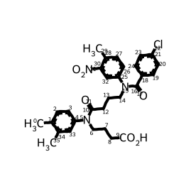 Cc1ccc(N(CCCC(=O)O)C(=O)CCCN(C(=O)c2ccc(Cl)cc2)c2ccc(C)c([N+](=O)[O-])c2)cc1C